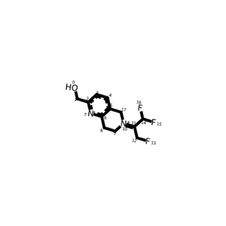 OCc1ccc2c(n1)CC[N+](=C(CF)C(F)F)C2